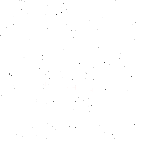 OCC(O)(CO)C(F)(F)F